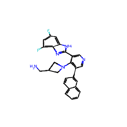 NCC1CN(c2c(-c3ccc4ccccc4c3)cncc2-c2nc3c(F)cc(F)cc3[nH]2)C1